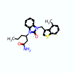 CCCC(CC(N)=O)n1c(=O)n(Cc2csc3cccc(C)c23)c2ccccc21